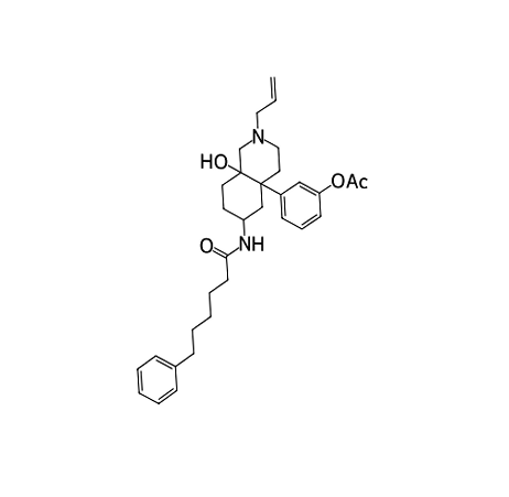 C=CCN1CCC2(c3cccc(OC(C)=O)c3)CC(NC(=O)CCCCCc3ccccc3)CCC2(O)C1